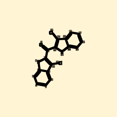 O=C(c1sc2ccccc2c1Cl)c1sc2ccccc2c1Cl